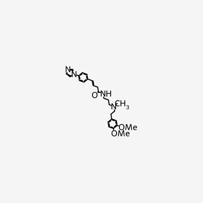 COc1ccc(CCN(C)CCCNC(=O)C/C=C/c2ccc(-n3ccnc3)cc2)cc1OC